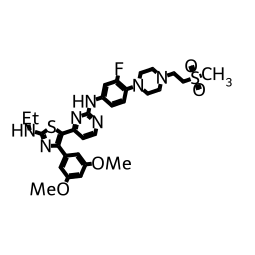 CCNc1nc(-c2cc(OC)cc(OC)c2)c(-c2ccnc(Nc3ccc(N4CCN(CCS(C)(=O)=O)CC4)c(F)c3)n2)s1